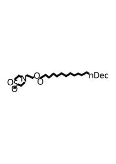 CCCCCCCCCCCCCCCCCCCCCC(=O)OCCN1CCS(=O)(=O)CC1